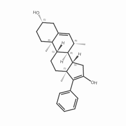 C[C@H]1C=C2C[C@@H](O)CC[C@]2(C)[C@H]2CC[C@]3(C)C(c4ccccc4)=C(O)C[C@H]3[C@H]12